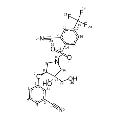 N#Cc1cccc(O[C@H]2CN(S(=O)(=O)c3ccc(C(F)(F)F)cc3C#N)C[C@@]2(O)CO)c1